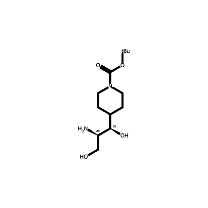 CC(C)(C)OC(=O)N1CCC([C@@H](O)[C@H](N)CO)CC1